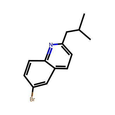 CC(C)Cc1ccc2cc(Br)ccc2n1